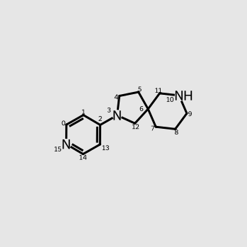 c1cc(N2CCC3(CCCNC3)C2)ccn1